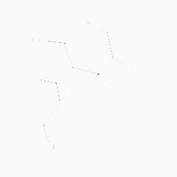 CC=CC(O)C1C(C)CCC(C)C1(C)C